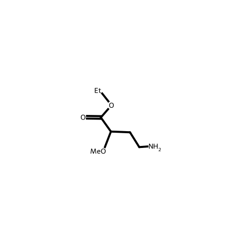 CCOC(=O)C(CCN)OC